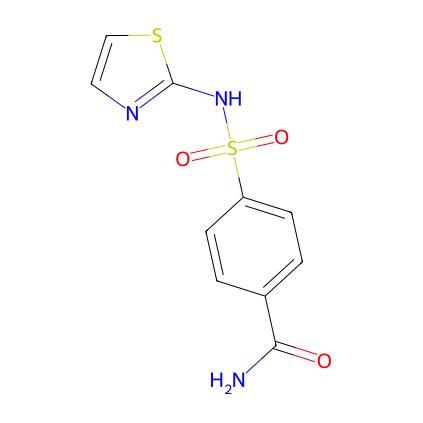 NC(=O)c1ccc(S(=O)(=O)Nc2nccs2)cc1